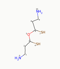 NCCC(S)OC(S)CCN